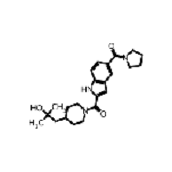 CC(C)(O)CC1CCN(C(=O)c2cc3cc(C(=O)N4CCCC4)ccc3[nH]2)CC1